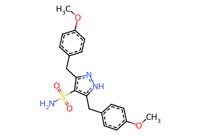 COc1ccc(Cc2n[nH]c(Cc3ccc(OC)cc3)c2S(N)(=O)=O)cc1